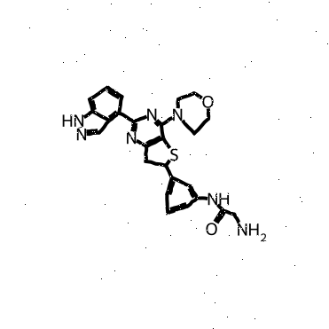 NCC(=O)Nc1cccc(C2Cc3nc(-c4cccc5[nH]ncc45)nc(N4CCOCC4)c3S2)c1